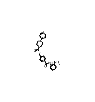 Nc1ccccc1NC(=O)c1ccc(CSC(=S)N2CCN(c3ccncc3)CC2)cc1